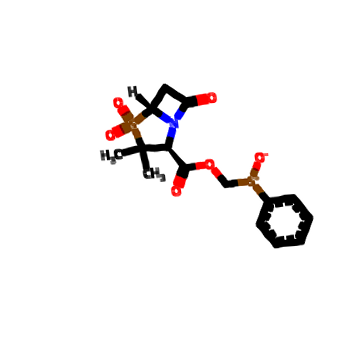 CC1(C)[C@H](C(=O)OC[S+]([O-])c2ccccc2)N2C(=O)C[C@H]2S1(=O)=O